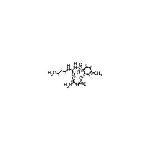 CCCCNC(=O)NS(=O)(=O)c1ccc(C)cc1.NC(=O)N=S(=O)=O